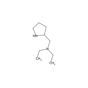 CCN(CC)CC1CCCN1